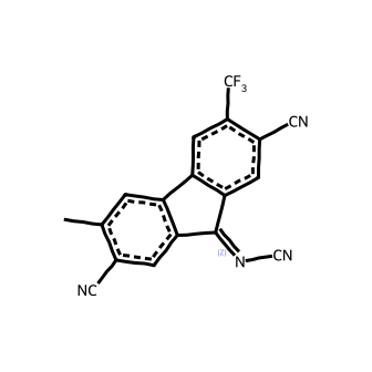 Cc1cc2c(cc1C#N)/C(=N/C#N)c1cc(C#N)c(C(F)(F)F)cc1-2